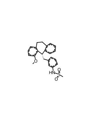 COc1cccc2c1[C@@H](Cc1cccc(NS(C)(=O)=O)c1)c1ccccc1CC2